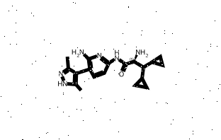 Cc1n[nH]c(C)c1-c1ccc(NC(=O)[C@@H](N)C(C2CC2)C2CC2)nc1N